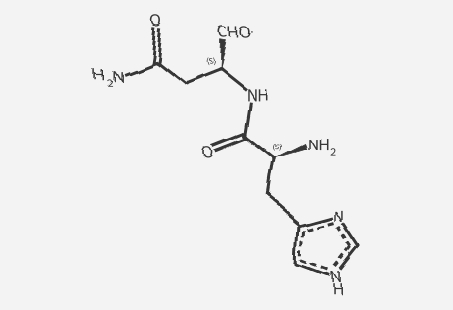 NC(=O)C[C@@H]([C]=O)NC(=O)[C@@H](N)Cc1c[nH]cn1